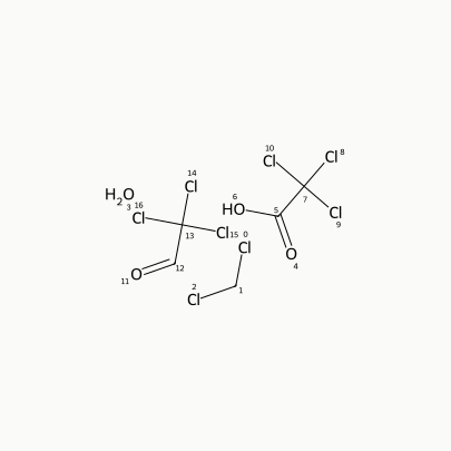 ClCCl.O.O=C(O)C(Cl)(Cl)Cl.O=CC(Cl)(Cl)Cl